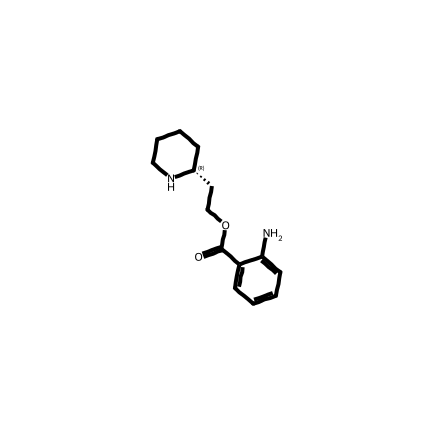 Nc1ccccc1C(=O)OCC[C@H]1CCCCN1